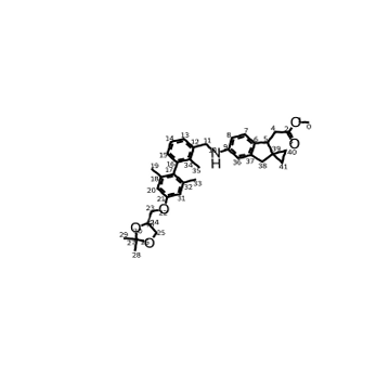 COC(=O)CC1c2ccc(NCc3cccc(-c4c(C)cc(OC[C@H]5COC(C)(C)O5)cc4C)c3C)cc2CC12CC2